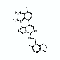 Cc1ccc(C2=CNC(NCc3c(F)ccc4c3CCO4)n3cnnc32)/c(=N/N)n1N